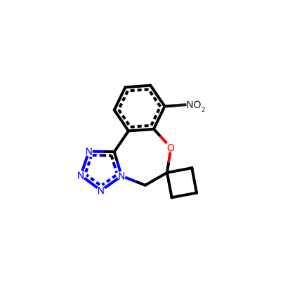 O=[N+]([O-])c1cccc2c1OC1(CCC1)Cn1nnnc1-2